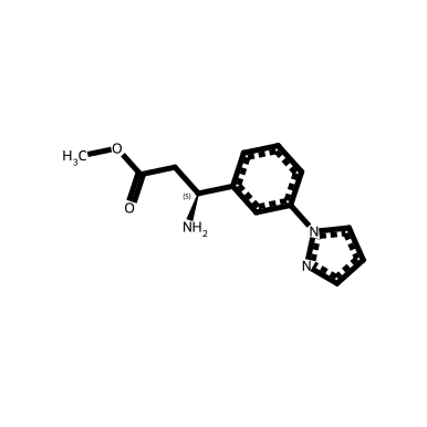 COC(=O)C[C@H](N)c1cccc(-n2cccn2)c1